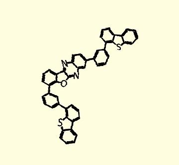 c1cc(-c2ccc3nc4c(nc3c2)oc2c(-c3cccc(-c5cccc6c5sc5ccccc56)c3)cccc24)cc(-c2cccc3c2sc2ccccc23)c1